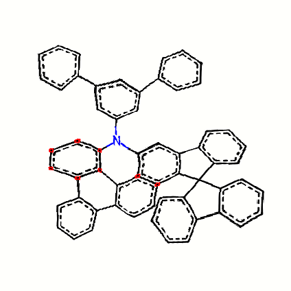 c1ccc(-c2cc(-c3ccccc3)cc(N(c3ccc4c(c3)-c3ccccc3C43c4ccccc4-c4ccccc43)c3ccccc3-c3ccccc3-c3ccccc3-c3ccccc3)c2)cc1